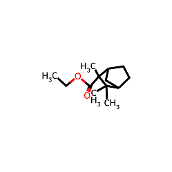 CCOC(=O)C1(C)C2CCC(C2)C1(C)C